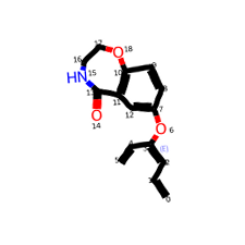 C=C/C=C(\C=C)Oc1ccc2c(c1)C(=O)NCCO2